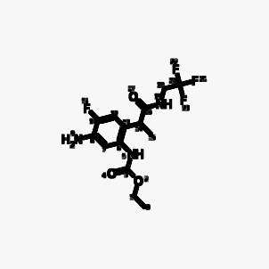 CCOC(=O)Nc1cc(N)c(F)cc1C(C)C(=O)NCC(F)(F)F